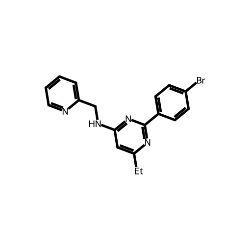 CCc1cc(NCc2ccccn2)nc(-c2ccc(Br)cc2)n1